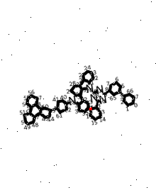 c1ccc(-c2cccc(-c3nc(-c4ccccc4)nc(-n4c5ccccc5c5ccc6c(c7ccccc7n6-c6ccc(-c7ccc8c9ccccc9c9ccccc9c8c7)cc6)c54)n3)c2)cc1